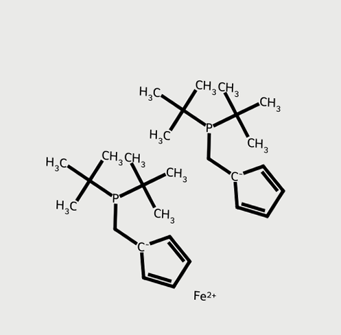 CC(C)(C)P(C[c-]1cccc1)C(C)(C)C.CC(C)(C)P(C[c-]1cccc1)C(C)(C)C.[Fe+2]